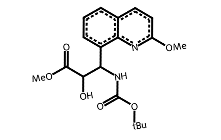 COC(=O)C(O)C(NC(=O)OC(C)(C)C)c1cccc2ccc(OC)nc12